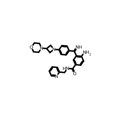 N=C(c1ccc(N2CC(N3CCOCC3)C2)cc1)c1cc(C(=O)NCc2ccccn2)ccc1N